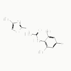 CC(C)c1coc(SNC(=O)Nc2c(C(C)C)cc(F)cc2C(C)C)n1